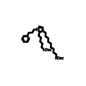 CCCCCCCCCCCCCCCCCCCn1cc[n+](CCCc2ccccc2)c1CCCCCCCCCCCCCCC